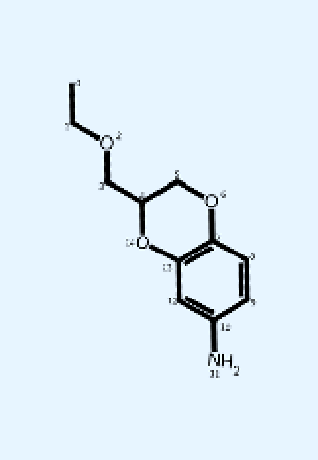 CCOCC1COc2ccc(N)cc2O1